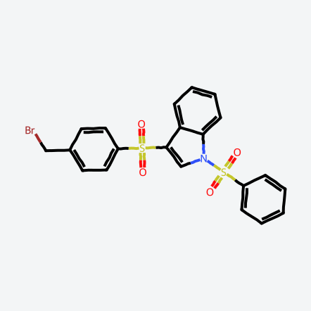 O=S(=O)(c1ccc(CBr)cc1)c1cn(S(=O)(=O)c2ccccc2)c2ccccc12